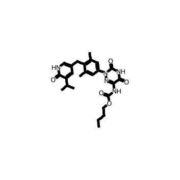 CCCCOC(=O)Nc1nn(-c2cc(C)c(Cc3c[nH]c(=O)c(C(C)C)c3)c(C)c2)c(=O)[nH]c1=O